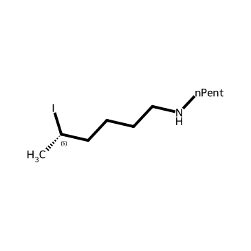 CCCCCNCCCC[C@H](C)I